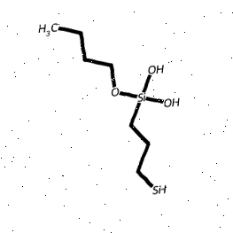 CCCCO[Si](O)(O)CCCS